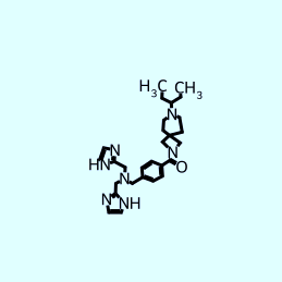 CCC(CC)N1CCC2(CC1)CN(C(=O)c1ccc(CN(Cc3ncc[nH]3)Cc3ncc[nH]3)cc1)C2